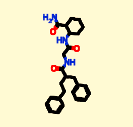 NC(=O)C1CCCCC1NC(=O)CNC(=O)C(CCc1ccccc1)Cc1ccccc1